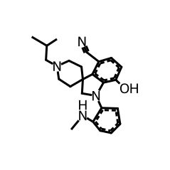 CNc1ccccc1N1CC2(CCN(CC(C)C)CC2)c2c(C#N)ccc(O)c21